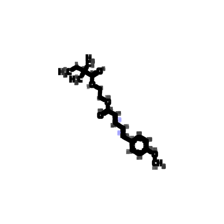 CCC(C)(C)C(=O)OCCOC(=O)/C=C/C=C/c1ccc(OC)cc1